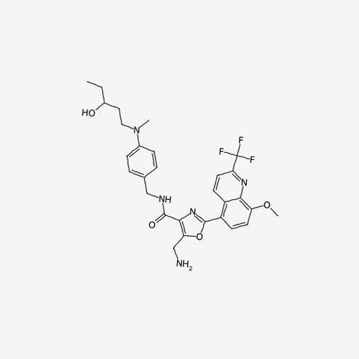 CCC(O)CCN(C)c1ccc(CNC(=O)c2nc(-c3ccc(OC)c4nc(C(F)(F)F)ccc34)oc2CN)cc1